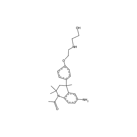 CC(=O)N1c2ccc(N)cc2C(C)(c2ccc(OCCNCCO)cc2)CC1(C)C